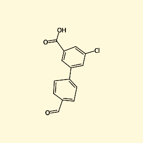 O=Cc1ccc(-c2cc(Cl)cc(C(=O)O)c2)cc1